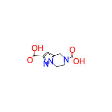 O=C(O)c1cc2n(n1)CCN(C(=O)O)C2